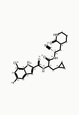 N#C[C@H](CC1CCCNC1=O)NC(=O)C(CC1CC1)NC(=O)c1cc2cc(F)cc(Cl)c2[nH]1